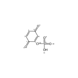 O=C1C=CC(=O)C=C1.O=S(=O)(O)Cl